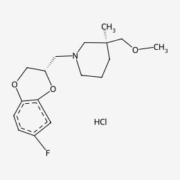 COC[C@@]1(C)CCCN(C[C@H]2COc3ccc(F)cc3O2)C1.Cl